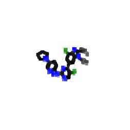 Cc1nc2c(F)cc(-c3nc(Nc4ccc(N5CCCC5)cn4)ncc3F)cc2n1C(C)C